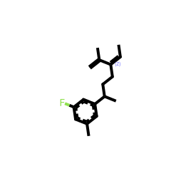 C=C(C)/C(=C\C)CCC(C)c1cc(C)cc(F)c1